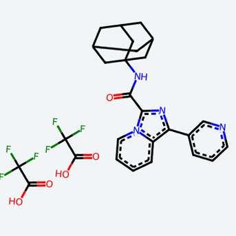 O=C(NC12CC3CC(CC(C3)C1)C2)c1nc(-c2cccnc2)c2ccccn12.O=C(O)C(F)(F)F.O=C(O)C(F)(F)F